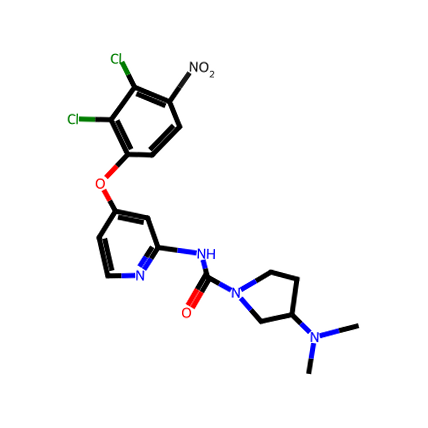 CN(C)C1CCN(C(=O)Nc2cc(Oc3ccc([N+](=O)[O-])c(Cl)c3Cl)ccn2)C1